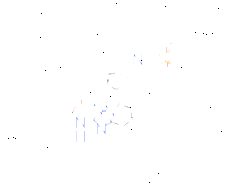 O=C(Nc1nc2cccc(-c3ccc(CN4CCS(=O)(=O)CC4)s3)n2n1)C1CC1